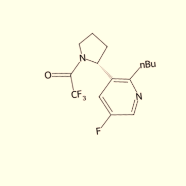 [CH2][CH]CCc1ncc(F)cc1[C@H]1CCCN1C(=O)C(F)(F)F